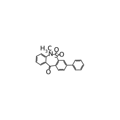 CN1c2ccccc2C(=O)c2ccc(-c3ccccc3)cc2S1(=O)=O